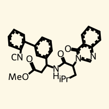 COC(=O)CC(NC(=O)C(CC(C)C)n1cnc2ccccc2c1=O)c1cccc(-c2ccccc2C#N)c1